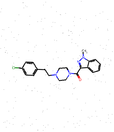 Cn1nc(C(=O)N2CCN(CCc3ccc(Cl)cc3)CC2)c2ccccc21